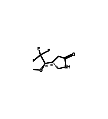 CO[C@H]([C@H]1CNC(=O)C1)C(F)(F)F